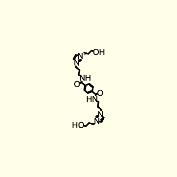 O=C(NCCCn1cc[n+](CCCO)c1)c1ccc(C(=O)NCCCn2cc[n+](CCCO)c2)cc1